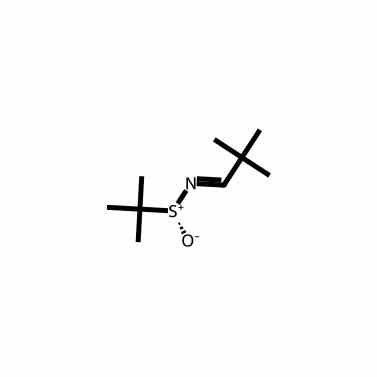 CC(C)(C)/C=N/[S@+]([O-])C(C)(C)C